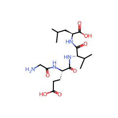 CC(C)C[C@H](NC(=O)[C@@H](NC(=O)[C@H](CCC(=O)O)NC(=O)CN)C(C)C)C(=O)O